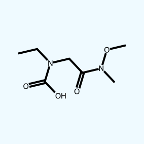 CCN(CC(=O)N(C)OC)C(=O)O